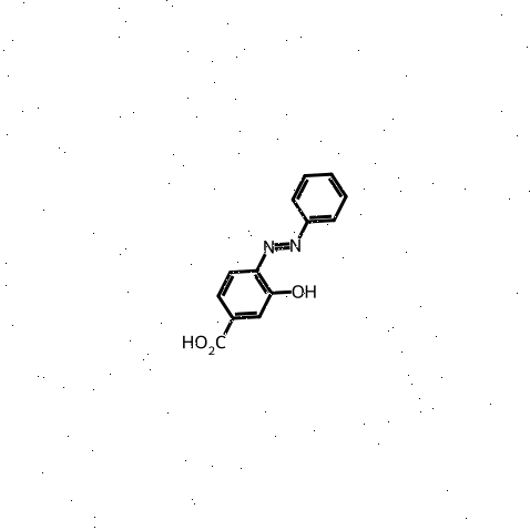 O=C(O)c1ccc(/N=N/c2ccccc2)c(O)c1